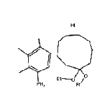 CCOC1(OCC)CCCCCCCC1.Cc1ccc(P)c(C)c1C.I